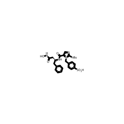 CCCCc1ncc(C(=O)N[C@H](CC(=O)NO)Cc2ccccc2)n1Cc1ccc(S(=O)(=O)O)cc1